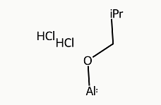 CC(C)C[O][Al].Cl.Cl